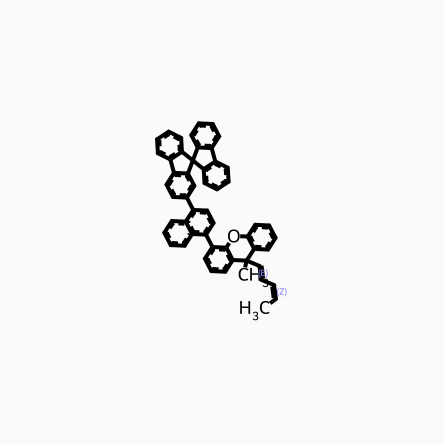 C/C=C\C=C\C1(C)c2ccccc2Oc2c(-c3ccc(-c4ccc5c(c4)C4(c6ccccc6-c6ccccc64)c4ccccc4-5)c4ccccc34)cccc21